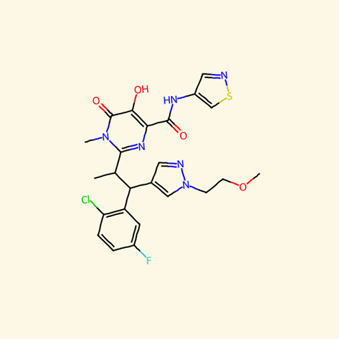 COCCn1cc(C(c2cc(F)ccc2Cl)C(C)c2nc(C(=O)Nc3cnsc3)c(O)c(=O)n2C)cn1